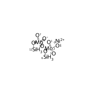 [Ni+2].[O]=[Mo](=[O])([O-])[O][SiH3].[O]=[Mo](=[O])([O-])[O][SiH3]